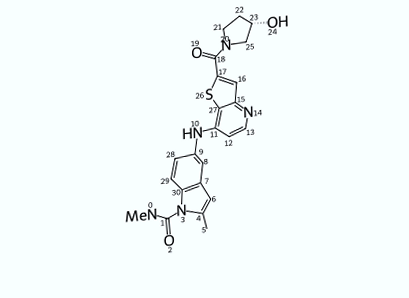 CNC(=O)n1c(C)cc2cc(Nc3ccnc4cc(C(=O)N5CC[C@H](O)C5)sc34)ccc21